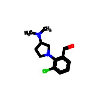 CN(C)C1CCN(c2c(Cl)cccc2C=O)C1